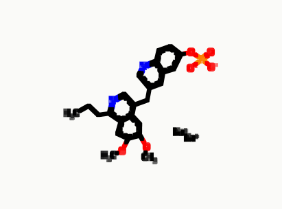 CCCc1ncc(Cc2cnc3ccc(OP(=O)([O-])[O-])cc3c2)c2cc(OC)c(OC)cc12.[Na+].[Na+]